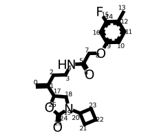 C=C(CCNC(=O)COc1ccc(C)c(F)c1)C1CN(C2CCC2)C(=O)O1